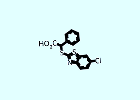 O=C(O)C(Sc1nc2ccc(Cl)cc2s1)c1ccccc1